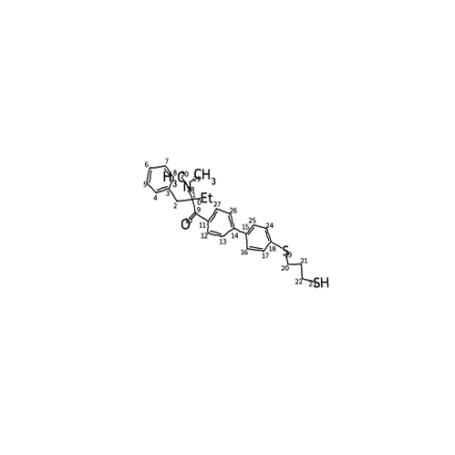 CCC(Cc1ccccc1)(C(=O)c1ccc(-c2ccc(SCCCS)cc2)cc1)N(C)C